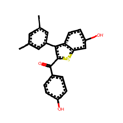 Cc1cc(C)cc(-c2c(C(=O)c3ccc(O)cc3)sc3cc(O)ccc23)c1